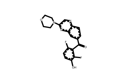 O=C(c1ccc2ncc(N3CCOCC3)nc2c1)c1c(F)ccc(O)c1F